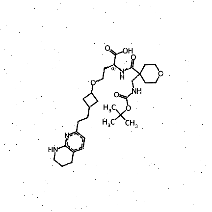 CC(C)(C)OC(=O)NCC1(C(=O)N[C@@H](CCOC2CC(CCc3ccc4c(n3)NCCC4)C2)C(=O)O)CCOCC1